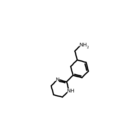 NCC1C=CC=C(C2=NCCCN2)C1